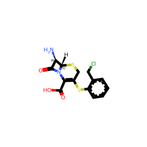 N[C@@H]1C(=O)N2C(C(=O)O)=C(Sc3ccccc3CCl)CS[C@@H]12